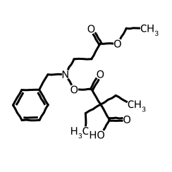 CCOC(=O)CCN(Cc1ccccc1)OC(=O)C(CC)(CC)C(=O)O